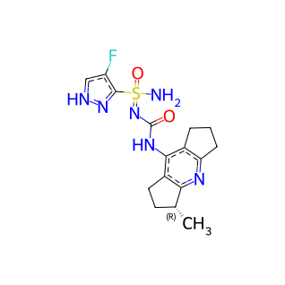 C[C@@H]1CCc2c1nc1c(c2NC(=O)N=S(N)(=O)c2n[nH]cc2F)CCC1